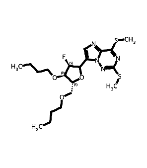 CCCCOC[C@H]1OC(c2cnc3c(SC)nc(SC)nn23)[C@H](F)[C@@H]1OCCCC